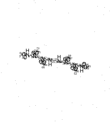 CC(C)(C)OC(=O)NCCCN(CCCCN(CCCNCCCCNCCCN(CCCCN(CCCNC(=O)OC(C)(C)C)C(=O)OC(C)(C)C)C(=O)OC(C)(C)C)C(=O)OC(C)(C)C)C(=O)OC(C)(C)C